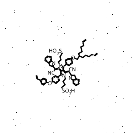 C=CCCCCC(CCCCC=C)COc1ccc(-c2c3/c(=C(\C#N)C4=Nc5ccccc5C4)n(CCCCS(=O)(=O)O)c(-c4ccc(Oc5ccc(C=C)cc5)cc4)c3/c(=C(\C#N)C3=Nc4ccccc4C3)n2CCCCS(=O)(=O)O)cc1